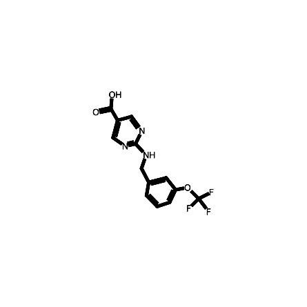 O=C(O)c1cnc(NCc2cccc(OC(F)(F)F)c2)nc1